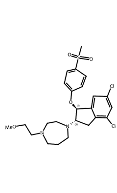 COCCN1CCCN([C@H]2Cc3c(Cl)cc(Cl)cc3[C@@H]2Oc2ccc(S(C)(=O)=O)cc2)CC1